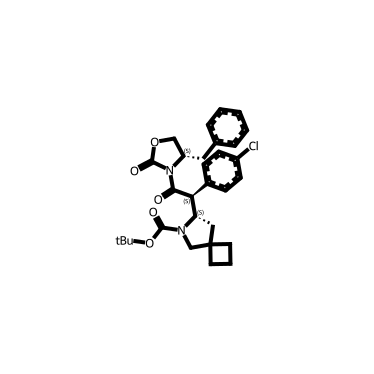 CC(C)(C)OC(=O)N1CC2(CCC2)C[C@H]1[C@@H](C(=O)N1C(=O)OC[C@@H]1Cc1ccccc1)c1ccc(Cl)cc1